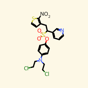 O=[N+]([O-])c1sccc1CC(c1cccnc1)S(=O)(=O)Oc1ccc(N(CCCl)CCCl)cc1